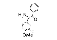 COc1ccc(N(N)C(=O)c2ccccc2)cc1F